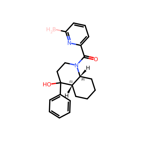 Bc1cccc(C(=O)N2CCC(O)(c3ccccc3)[C@H]3CCCC[C@H]32)n1